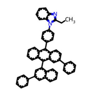 CCc1nc2ccccc2n1-c1ccc(-c2c3ccccc3c(-c3cc(-c4ccccc4)cc4ccccc34)c3cc(-c4ccccc4)ccc23)cc1